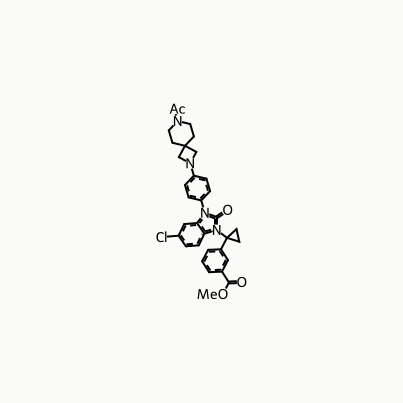 COC(=O)c1cccc(C2(n3c(=O)n(-c4ccc(N5CC6(CCN(C(C)=O)CC6)C5)cc4)c4cc(Cl)ccc43)CC2)c1